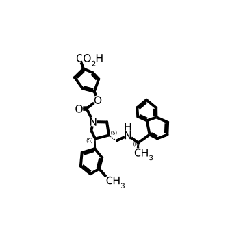 Cc1cccc([C@H]2CN(C(=O)Oc3ccc(C(=O)O)cc3)C[C@@H]2CN[C@H](C)c2cccc3ccccc23)c1